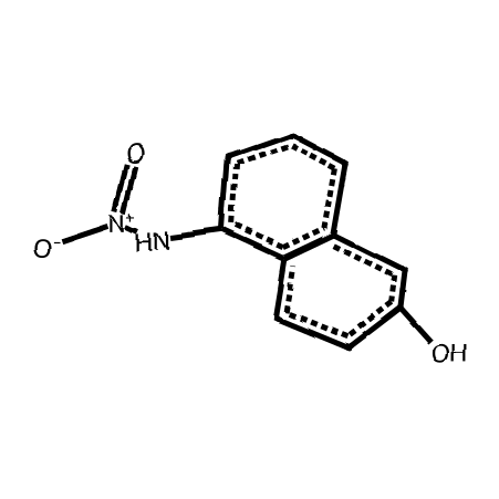 O=[N+]([O-])Nc1cccc2cc(O)ccc12